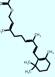 CC(=O)OCC=C(C)CCC=C(C)C=CC1=C(C)CCCC1(C)C